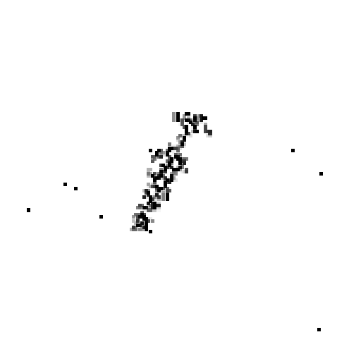 C[Si](C)(C)CCOCn1cc(C(F)(F)F)c2c(Oc3c(F)cc(NC(=O)NCc4cncs4)cc3F)ccnc21